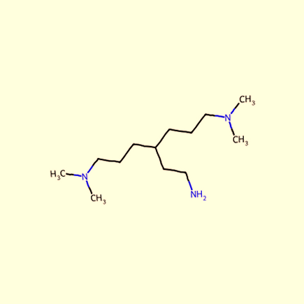 CN(C)CCCC(CCN)CCCN(C)C